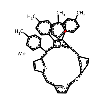 Cc1ccc(-c2c(-c3ccc(C)cc3)c3c(-c4ccc(C)cc4)c4nc(cc5ccc(cc6nc(cc2n3-c2ccc(C)cc2)C=C6)[nH]5)C=C4)cc1.[Mn]